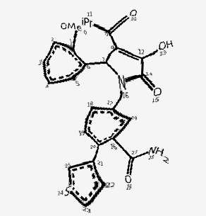 COc1ccccc1C1C(C(=O)C(C)C)=C(O)C(=O)N1c1ccc(-c2ccsc2)c(C(N)=O)c1